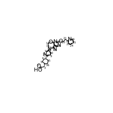 O=C(O)C[C@H]1CC[C@@H](c2ccc(N3CCOc4nc(OCCc5ccccn5)nc5c4C3=N5)cn2)CC1